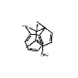 CC(C)c1ccccc1C12C=CC(C=O)=C(Cl)C1(Cl)S2